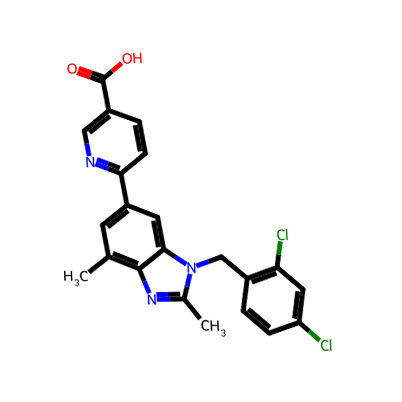 Cc1cc(-c2ccc(C(=O)O)cn2)cc2c1nc(C)n2Cc1ccc(Cl)cc1Cl